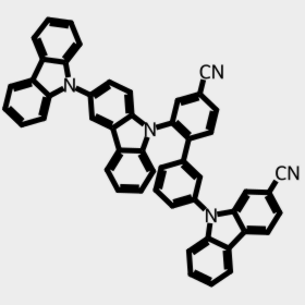 N#Cc1ccc(-c2cccc(-n3c4ccccc4c4ccc(C#N)cc43)c2)c(-n2c3ccccc3c3cc(-n4c5ccccc5c5ccccc54)ccc32)c1